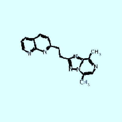 Cc1ncc(C)n2nc(CCc3ccc4cccnc4n3)nc12